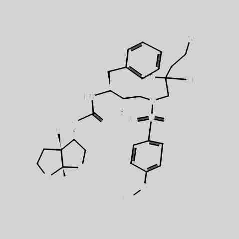 COc1ccc(S(=O)(=O)N(C[C@H](O)[C@H](Cc2ccccc2)NC(=O)O[C@@H]2CO[C@@H]3OCC[C@@H]32)CC(C)(C)CCN)cc1